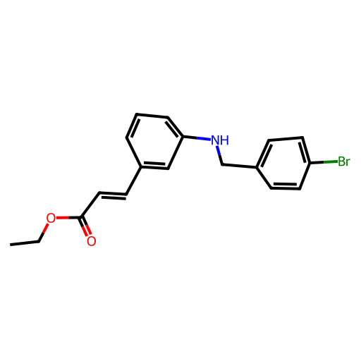 CCOC(=O)/C=C/c1cccc(NCc2ccc(Br)cc2)c1